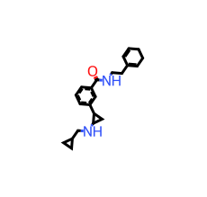 O=C(NCCC1=CCCC=C1)c1cccc(C2CC2NCC2CC2)c1